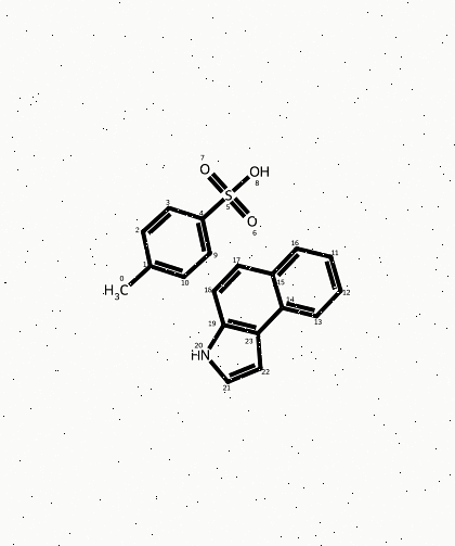 Cc1ccc(S(=O)(=O)O)cc1.c1ccc2c(c1)ccc1[nH]ccc12